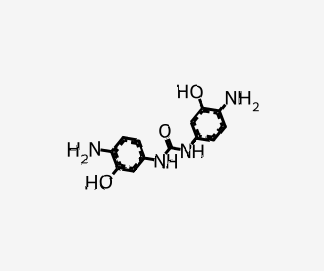 Nc1ccc(NC(=O)Nc2ccc(N)c(O)c2)cc1O